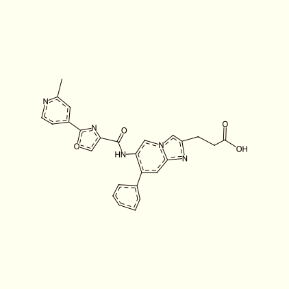 Cc1cc(-c2nc(C(=O)Nc3cn4cc(CCC(=O)O)nc4cc3-c3ccccc3)co2)ccn1